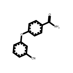 N#Cc1cccc(Oc2ccc(C(N)=O)cc2)c1